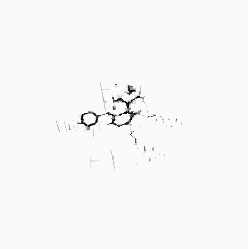 COCCOc1cc(F)c2c(-c3ccc(O)c(Cl)c3)nc3[nH]nc(C)c3c2c1OCCOC.Cl